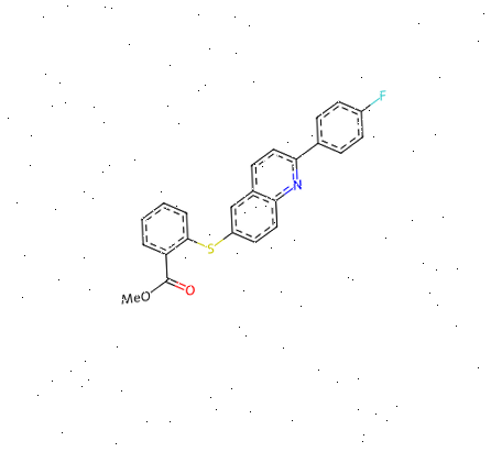 COC(=O)c1ccccc1Sc1ccc2nc(-c3ccc(F)cc3)ccc2c1